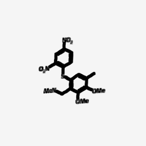 CNCc1c(Sc2ccc([N+](=O)[O-])cc2[N+](=O)[O-])cc(C)c(OC)c1OC